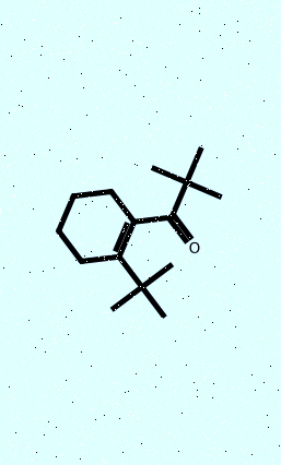 CC(C)(C)C(=O)C1=C(C(C)(C)C)CCCC1